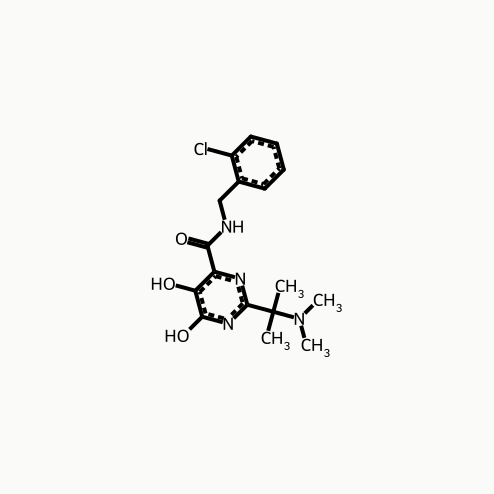 CN(C)C(C)(C)c1nc(O)c(O)c(C(=O)NCc2ccccc2Cl)n1